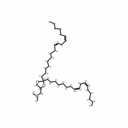 CCCCC/C=C\C/C=C\CCCCCCCCC1(CCCCCCC/C=C\C/C=C\CCCCC)OCC(CN(C)C)O1